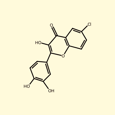 O=c1c(O)c(-c2ccc(O)c(O)c2)oc2ccc(Cl)cc12